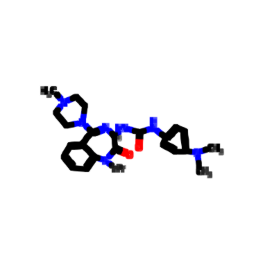 CCCN1C(=O)[C@H](NC(=O)Nc2ccc(N(C)C)cc2)N=C(N2CCN(C)CC2)c2ccccc21